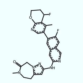 Cc1c(-c2cc3cc(Nc4cc5n(n4)CC(=O)N(C)CC5)ncc3cc2F)cnc2c1C(F)CCO2